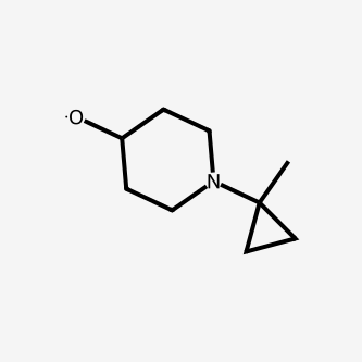 CC1(N2CCC([O])CC2)CC1